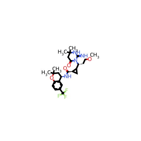 COCC[C@H](C1C[C@H]1C(=O)N[C@@H]1CC(C)(C)Oc2ccc(C(F)(F)F)cc21)N1C(=N)NC(C)(C)CC1=O